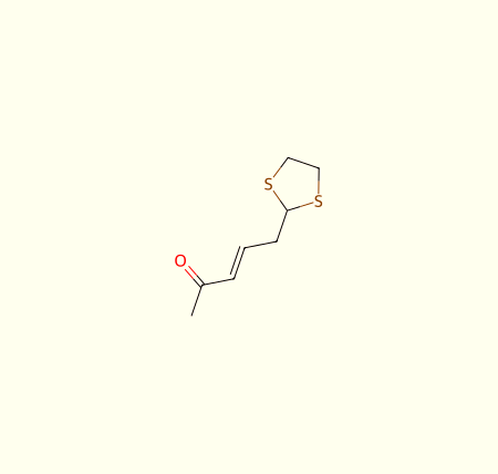 CC(=O)C=CCC1SCCS1